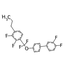 CCCc1ccc(C(F)(F)Oc2ccc(-c3ccc(F)c(F)c3)cc2)c(F)c1F